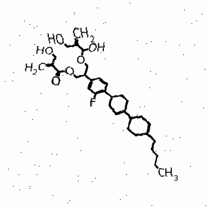 C=C(CO)C(=O)OCC(COC(O)C(=C)CO)c1ccc(C2CCC(C3CCC(CCCCC)CC3)CC2)c(F)c1